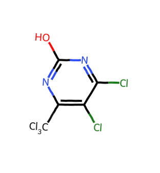 Oc1nc(Cl)c(Cl)c(C(Cl)(Cl)Cl)n1